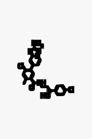 Cc1cc(Cl)c(-c2ccn3nc(N)nc3c2)cc1C(=O)NCC[C@H](O)c1ccc(Cl)cc1